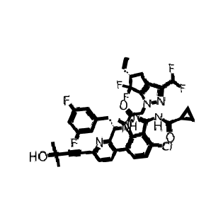 C=C[C@@H]1Cc2c(C(F)F)nn(CC(=O)N[C@@H](Cc3cc(F)cc(F)c3)c3nc(C#CC(C)(C)O)ccc3-c3ccc(Cl)c4c(NC(=O)C5CC5)nn(C)c34)c2C1(F)F